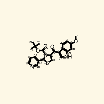 COc1ccc2c(C(=O)C3CSC(c4cccnc4)N3C(=O)OC(C)(C)C)c[nH]c2c1